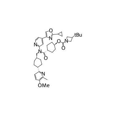 COc1ccc([C@H]2CC[C@H](CN(c3cc(-c4coc(C5CC5)n4)ccn3)C(=O)[C@H]3CC[C@H](OC(=O)N4CC(C(C)(C)C)C4)CC3)CC2)nc1C